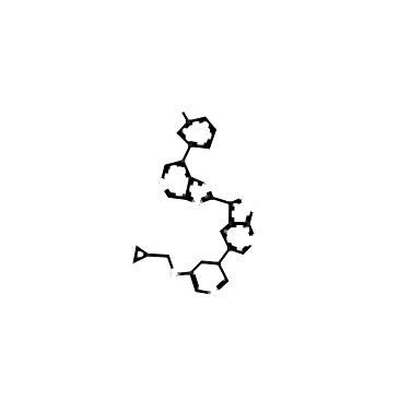 O[C@H](NC1=CN=CC(c2cnc3[nH]nc(-c4nc5c(-c6cccc(F)c6)cncc5[nH]4)c3c2)C1)C1CC1